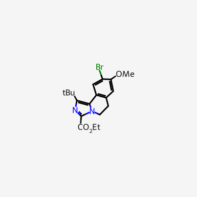 CCOC(=O)c1nc(C(C)(C)C)c2n1CCc1cc(OC)c(Br)cc1-2